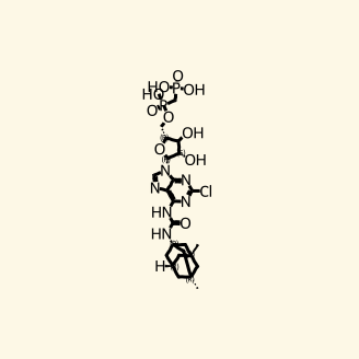 C[C@]12C[C@@H]3C[C@](C)(C1)C[C@@](NC(=O)Nc1nc(Cl)nc4c1ncn4[C@@H]1O[C@H](COP(=O)(O)CP(=O)(O)O)C(O)[C@@H]1O)(C3)C2